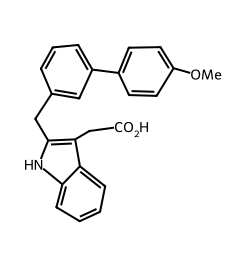 COc1ccc(-c2cccc(Cc3[nH]c4ccccc4c3CC(=O)O)c2)cc1